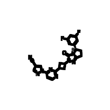 N#Cc1cnn(-c2ccnc(C3CC(n4nc5n(c4=O)[C@H](c4cc(F)cc(F)c4)CC5)C3)n2)c1